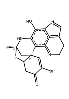 O=C1CC2S[C@H]3C[C@]2(C=C1Br)c1c(c(O)c2c4c1=NCCC=4C=N2)N3